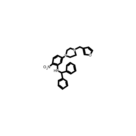 O=[N+]([O-])c1ccc(N2CCN(Cc3ccoc3)CC2)cc1NC(c1ccccc1)c1ccccc1